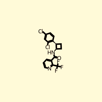 O=C(N[C@@H]1CC[C@@H]1c1ccc(Cl)cc1Cl)c1cccnc1C(F)(F)F